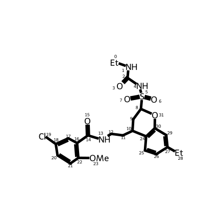 CCNC(=O)NS(=O)(=O)C1CC(CCNC(=O)c2cc(Cl)ccc2OC)c2ccc(CC)cc2O1